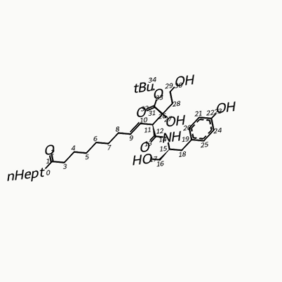 CCCCCCCC(=O)CCCCCC/C=C/[C@H](C(=O)N[C@H](CO)Cc1ccc(O)cc1)[C@@](O)(CCO)C(=O)OC(C)(C)C